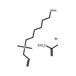 C=C(C)C(=O)OCC.C=CC[N+](C)(C)CCCCCCCCCCCCCCCC.[Br-]